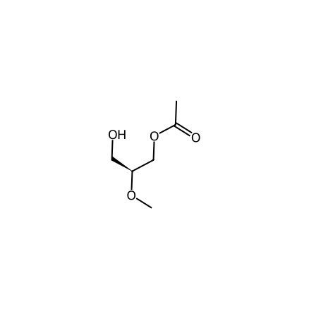 CO[C@@H](CO)COC(C)=O